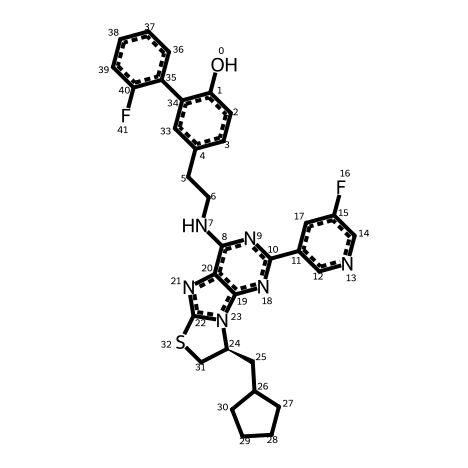 Oc1ccc(CCNc2nc(-c3cncc(F)c3)nc3c2nc2n3[C@@H](CC3CCCC3)CS2)cc1-c1ccccc1F